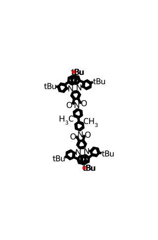 Cc1cc(N2C(=O)c3cc(-n4c5ccc(C(C)(C)C)cc5c5cc(C(C)(C)C)ccc54)c(-n4c5ccc(C(C)(C)C)cc5c5cc(C(C)(C)C)ccc54)cc3C2=O)ccc1-c1ccc(N2C(=O)c3cc(-n4c5ccc(C(C)(C)C)cc5c5cc(C(C)(C)C)ccc54)c(-n4c5ccc(C(C)(C)C)cc5c5cc(C(C)(C)C)ccc54)cc3C2=O)cc1C